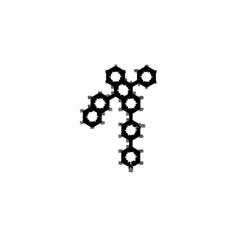 c1ccc(-c2c3ccccc3c(-c3ccc4ccccc4c3)c3cc(-c4ccc(-c5ccncc5)cn4)ccc23)cc1